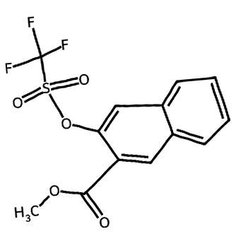 COC(=O)c1cc2ccccc2cc1OS(=O)(=O)C(F)(F)F